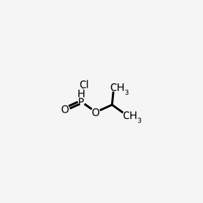 CC(C)O[PH](=O)Cl